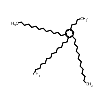 [CH2]CCCc1cc(CCCCCCCCCCCCC)c(CCCCCCCCCCCCC)c(CCCCCCCCCCCCC)c1